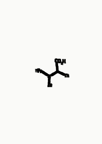 CCCN(CC)C(CC)C(=O)O